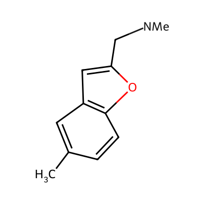 CNCc1cc2cc(C)ccc2o1